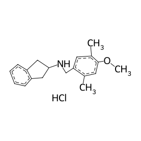 COc1cc(C)c(CNC2Cc3ccccc3C2)cc1C.Cl